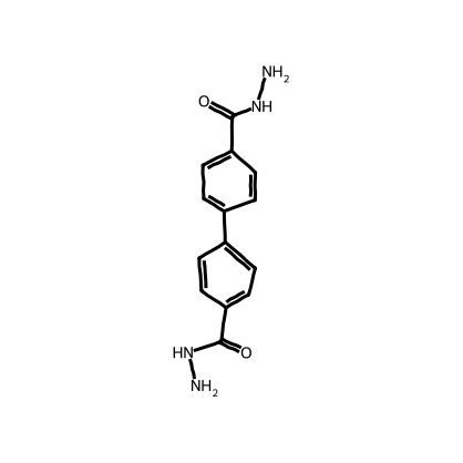 NNC(=O)c1ccc(-c2ccc(C(=O)NN)cc2)cc1